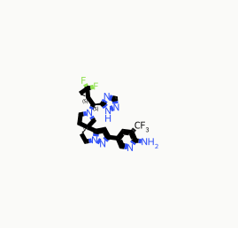 Nc1ncc(-c2cc3n(n2)CC[C@@]32CCN([C@H](c3ncn[nH]3)[C@@H]3CC3(F)F)C2)cc1C(F)(F)F